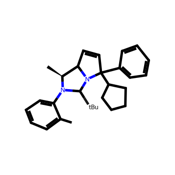 Cc1ccccc1N1C(C(C)(C)C)N2C(C=CC2(c2ccccc2)C2CCCC2)[C@@H]1C